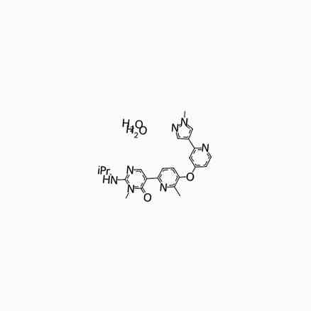 Cc1nc(-c2cnc(NC(C)C)n(C)c2=O)ccc1Oc1ccnc(-c2cnn(C)c2)c1.O.O